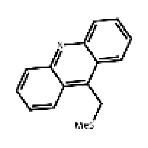 CSCc1c2ccccc2nc2ccccc12